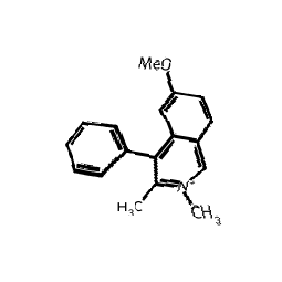 COc1ccc2c[n+](C)c(C)c(-c3ccccc3)c2c1